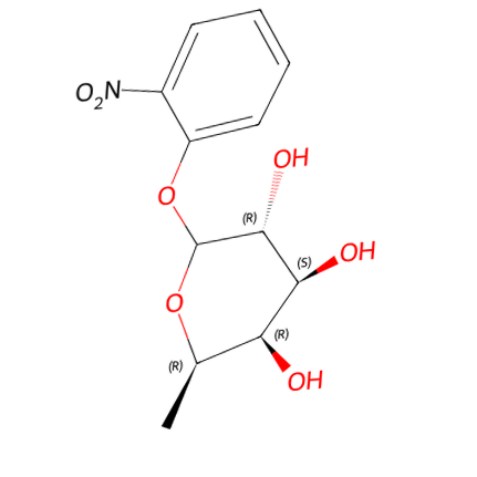 C[C@H]1OC(Oc2ccccc2[N+](=O)[O-])[C@H](O)[C@@H](O)[C@H]1O